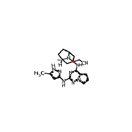 Cc1cc(Nc2nc(NC3CC4CC[C@@H](C3)N4CCC#N)c3cccn3n2)n[nH]1